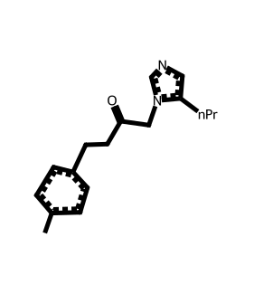 CCCc1cncn1CC(=O)CCc1ccc(C)cc1